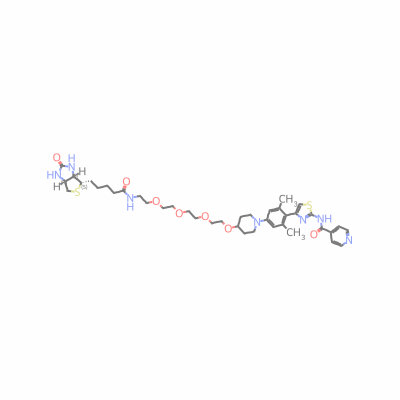 Cc1cc(N2CCC(OCCOCCOCCOCCNC(=O)CCCC[C@@H]3SC[C@@H]4NC(=O)N[C@@H]43)CC2)cc(C)c1-c1csc(NC(=O)c2ccncc2)n1